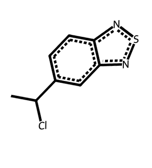 CC(Cl)c1ccc2nsnc2c1